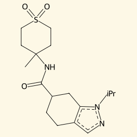 CC(C)n1ncc2c1CC(C(=O)NC1(C)CCS(=O)(=O)CC1)CC2